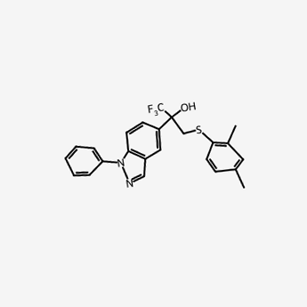 Cc1ccc(SCC(O)(c2ccc3c(cnn3-c3ccccc3)c2)C(F)(F)F)c(C)c1